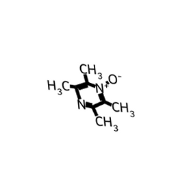 Cc1nc(C)c(C)[n+]([O-])c1C